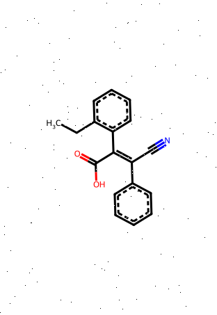 CCc1ccccc1C(C(=O)O)=C(C#N)c1ccccc1